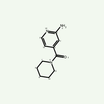 Nc1cc(C(=O)N2CCCCC2)ccn1